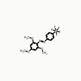 COc1cc(OC)c(N=Nc2ccc(S(F)(F)(F)(F)F)cc2)c(OC)c1